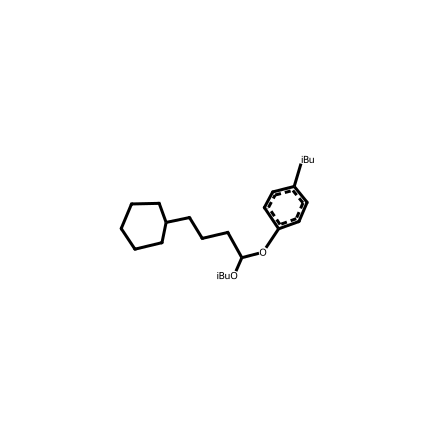 CCC(C)c1ccc(OC(CCCC2CCCCC2)OCC(C)C)cc1